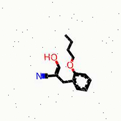 CCCCOc1ccccc1CC(C#N)=CO